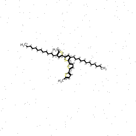 CCCCCCCCCCCCc1cc(-c2cc(CCCCCCCCCCCC)c(-c3ccc(-c4ccc(C)s4)s3)s2)sc1C